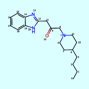 CCCCC1CCN(CC(=O)Cc2nc3ccccc3[nH]2)CC1